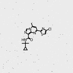 Cc1cc(-c2nc(Cl)cs2)nc2c(C(=O)NC(C)(C)C3CC3)ncn12